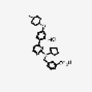 C[C@H]1CC[C@@H](Oc2ccc(-c3ccnc(N(Cc4cccc(C(=O)O)c4)C4CCCC4)n3)cc2)CC1.Cl